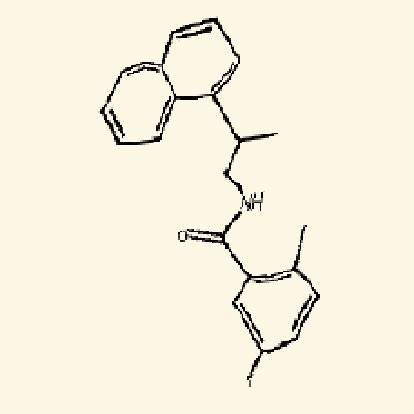 Cc1ccc(I)cc1C(=O)NCC(C)c1cccc2ccccc12